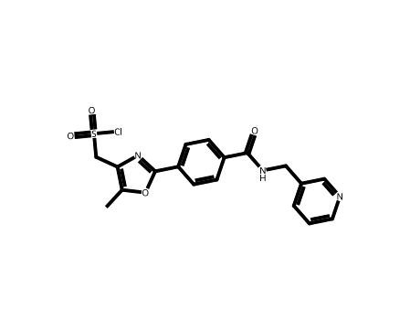 Cc1oc(-c2ccc(C(=O)NCc3cccnc3)cc2)nc1CS(=O)(=O)Cl